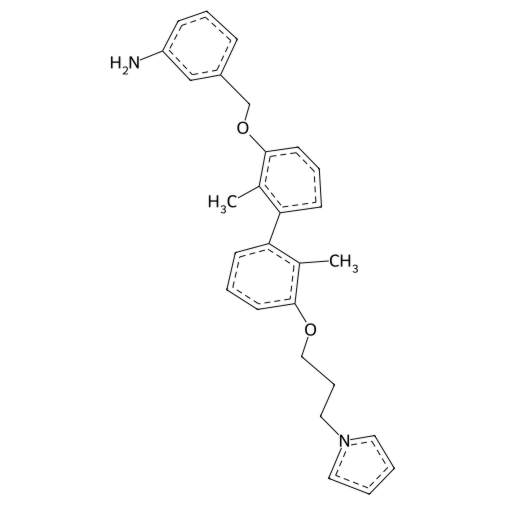 Cc1c(OCCCn2cccc2)cccc1-c1cccc(OCc2cccc(N)c2)c1C